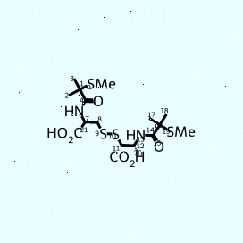 CSC(C)(C)C(=O)NC(CSSC[C@H](NC(=O)C(C)(C)SC)C(=O)O)C(=O)O